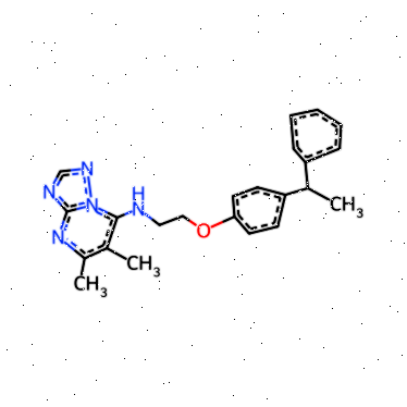 Cc1nc2ncnn2c(NCCOc2ccc(C(C)c3ccccc3)cc2)c1C